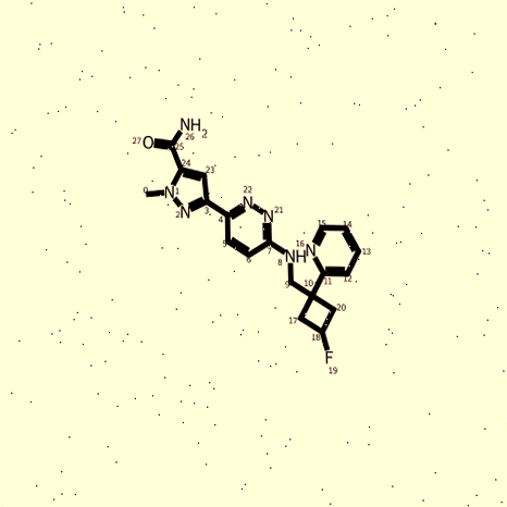 Cn1nc(-c2ccc(NCC3(c4ccccn4)CC(F)C3)nn2)cc1C(N)=O